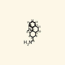 CNC12CCC(CN)CC1CCc1ccccc12